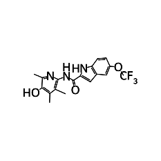 Cc1nc(NC(=O)c2cc3cc(OC(F)(F)F)ccc3[nH]2)c(C)c(C)c1O